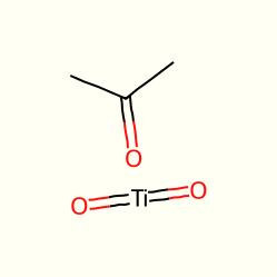 CC(C)=O.[O]=[Ti]=[O]